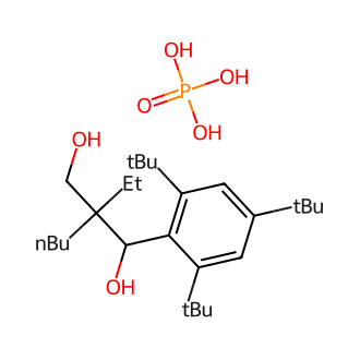 CCCCC(CC)(CO)C(O)c1c(C(C)(C)C)cc(C(C)(C)C)cc1C(C)(C)C.O=P(O)(O)O